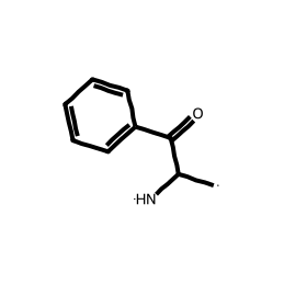 [CH2]C([NH])C(=O)c1ccccc1